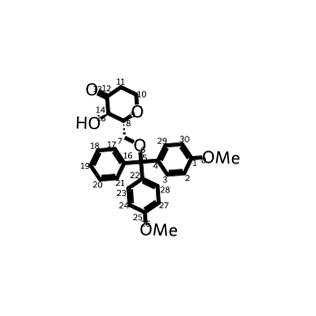 COc1ccc(C(OC[C@H]2OCCC(=O)[C@@H]2O)(c2ccccc2)c2ccc(OC)cc2)cc1